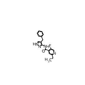 CCc1cc(C(=O)Nc2n[nH]cc2Cc2ccccc2)c(F)cn1